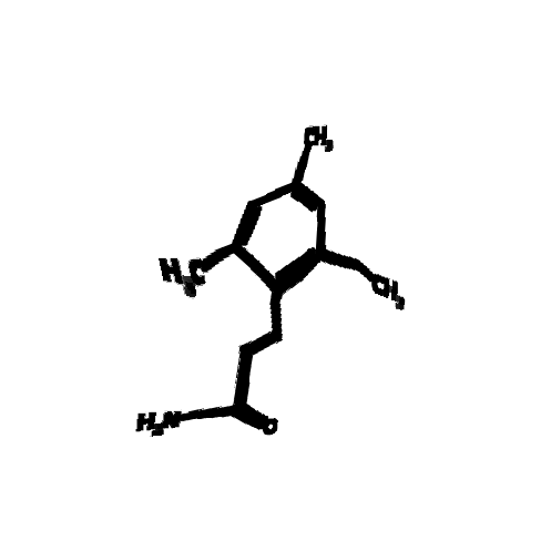 Cc1cc(C)c(CCC(N)=O)c(C)c1